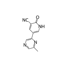 Cc1cncc(-c2c[nH]c(=O)c(C#N)c2)n1